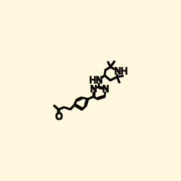 CC(=O)CCc1ccc(-c2ccnc(NC3CC(C)(C)NC(C)(C)C3)n2)cc1